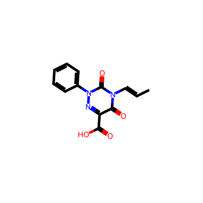 CC=Cn1c(=O)c(C(=O)O)nn(-c2ccccc2)c1=O